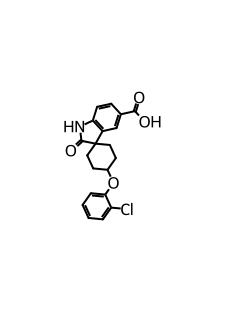 O=C(O)c1ccc2c(c1)C1(CCC(Oc3ccccc3Cl)CC1)C(=O)N2